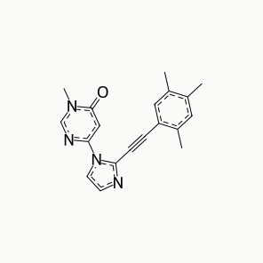 Cc1cc(C)c(C#Cc2nccn2-c2cc(=O)n(C)cn2)cc1C